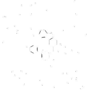 C1=C(c2ccccc2)CN(CC2CCc3[nH]c4ccccc4c3C2)CC1